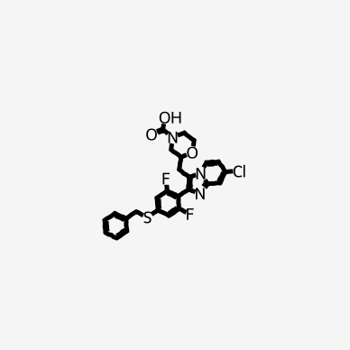 O=C(O)N1CCOC(Cc2c(-c3c(F)cc(SCc4ccccc4)cc3F)nc3cc(Cl)ccn23)C1